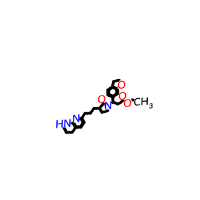 CCOC(=O)CC(c1ccc2c(c1)OCC2)N1CCC(CCCc2ccc3c(n2)NCCC3)C1=O